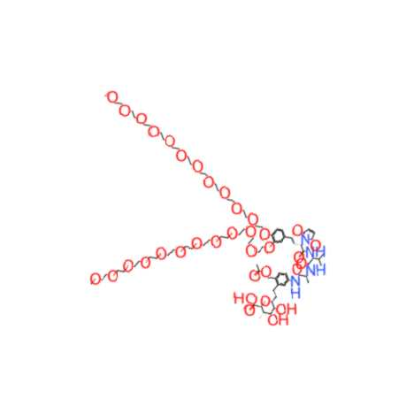 COCCOCCOCCOCCOCCOCCOCCOCCOCCOCCOCCOc1ccc(CC[C@@H](C(=O)N[C@H](C(=O)N[C@@H](C)C(=O)Nc2ccc(COC(C)=O)c(CC[C@@H]3O[C@H](C(=O)O)[C@@H](C)[C@H](O)[C@H]3O)c2)C(C)C)N2C(=O)C=CC2=O)cc1OCCOCCOCCOCCOCCOCCOCCOCCOCCOCCOCCOC